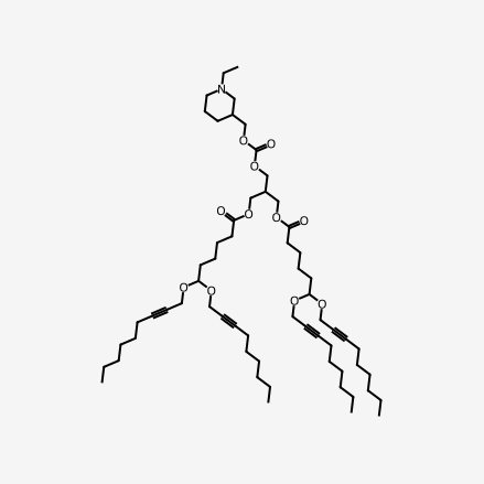 CCCCCCC#CCOC(CCCCC(=O)OCC(COC(=O)CCCCC(OCC#CCCCCCC)OCC#CCCCCCC)COC(=O)OCC1CCCN(CC)C1)OCC#CCCCCCC